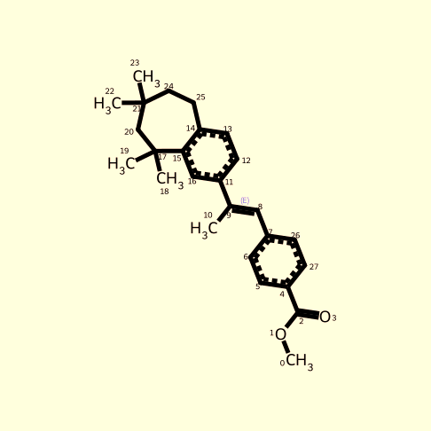 COC(=O)c1ccc(/C=C(\C)c2ccc3c(c2)C(C)(C)CC(C)(C)CC3)cc1